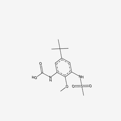 COc1c(NC(=O)O)cc(C(C)(C)C)cc1NS(C)(=O)=O